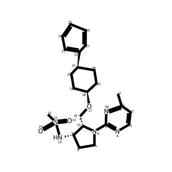 Cc1ccnc(N2CC[C@H](NS(C)(=O)=O)[C@@H]2CO[C@H]2CC[C@@H](c3ccccc3)CC2)n1